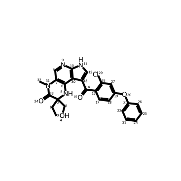 CCC1(CO)Nc2c(cnc3[nH]cc(C(=O)c4ccc(Oc5ccccc5)cc4Cl)c23)N(C)C1=O